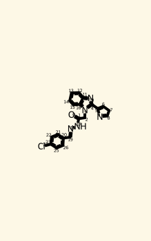 O=C(Cn1c(C2=CCC=N2)nc2ccccc21)NN=Cc1ccc(Cl)cc1